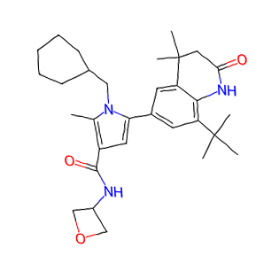 Cc1c(C(=O)NC2COC2)cc(-c2cc(C(C)(C)C)c3c(c2)C(C)(C)CC(=O)N3)n1CC1CCCCC1